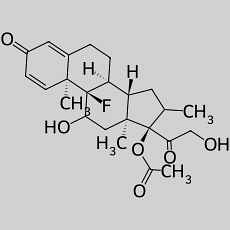 CC(=O)O[C@]1(C(=O)CO)C(C)C[C@H]2[C@@H]3CCC4=CC(=O)C=C[C@]4(C)[C@@]3(F)C(O)C[C@@]21C